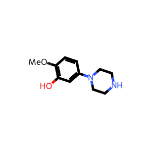 COc1ccc(N2CCNCC2)cc1O